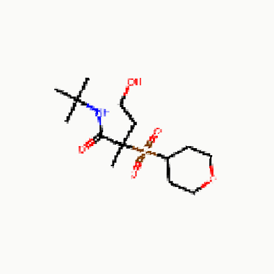 CC(C)(C)NC(=O)C(C)(CCO)S(=O)(=O)C1CCOCC1